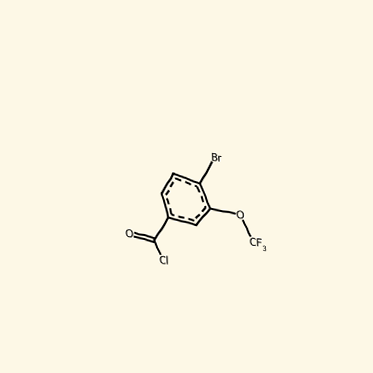 O=C(Cl)c1ccc(Br)c(OC(F)(F)F)c1